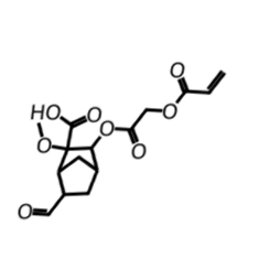 C=CC(=O)OCC(=O)OC1C2CC(C=O)C(C2)C1(OC)C(=O)O